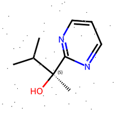 CC(C)[C@](C)(O)c1ncccn1